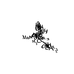 CNc1cccc(S(=O)(=O)N(C[C@@H](O)[C@H](Cc2ccccc2)NC(=O)O[C@H]2CO[C@H]3OCC[C@H]32)CC(C)(C)CCCCNC(=O)N(C)C)c1